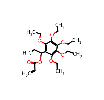 C=CC(=O)OC(CC)c1c(OCC)c(OCC)c(OCC)c(OCC)c1OCC